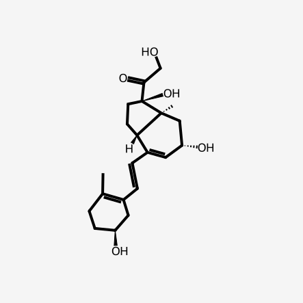 CC1=C(/C=C/C2=C[C@@H](O)C[C@@]3(C)[C@H]2CC[C@]3(O)C(=O)CO)C[C@@H](O)CC1